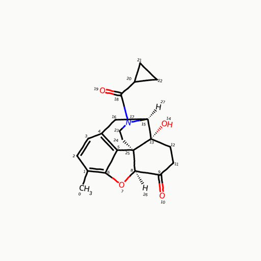 Cc1ccc2c3c1O[C@@H]1C(=O)CC[C@]4(O)[C@H](C2)N(C(=O)C2CC2)CC[C@@]314